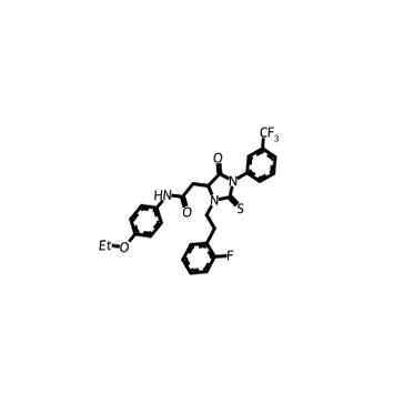 CCOc1ccc(NC(=O)CC2C(=O)N(c3cccc(C(F)(F)F)c3)C(=S)N2CCc2ccccc2F)cc1